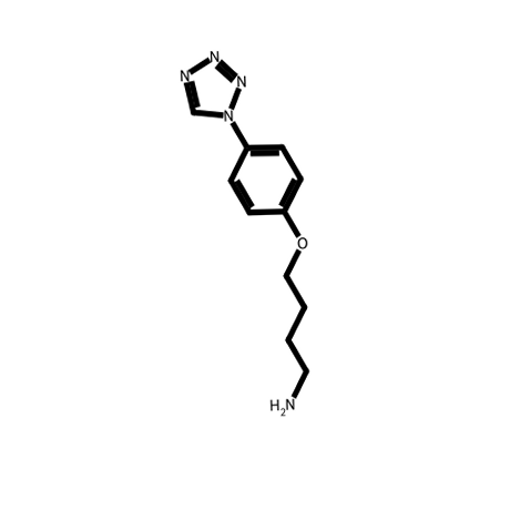 NCCCCOc1ccc(-n2cnnn2)cc1